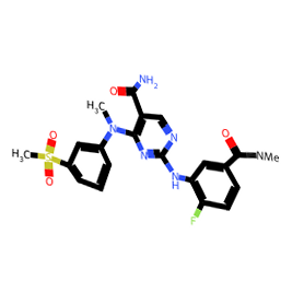 CNC(=O)c1ccc(F)c(Nc2ncc(C(N)=O)c(N(C)c3cccc(S(C)(=O)=O)c3)n2)c1